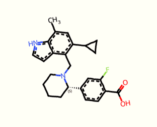 Cc1cc(C2CC2)c(CN2CCCC[C@H]2c2ccc(C(=O)O)c(F)c2)c2cc[nH]c12